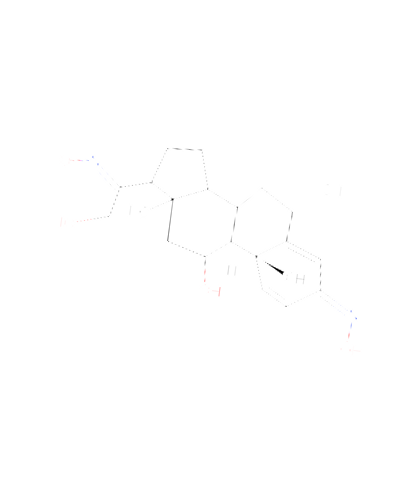 C[C@H]1CC2C3CCC(/C(CO)=N/O)C3(C)CC(O)[C@@H]2[C@@]2(C)C=C/C(=N\O)C=C12